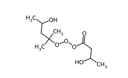 CC(O)CC(=O)OOOC(C)(C)CC(C)O